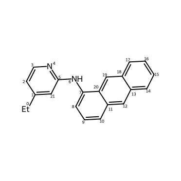 CCc1ccnc(Nc2cccc3cc4ccccc4cc23)c1